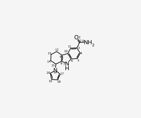 NC(=O)c1ccc2[nH]c3c(c2c1)CCCC3n1cccc1